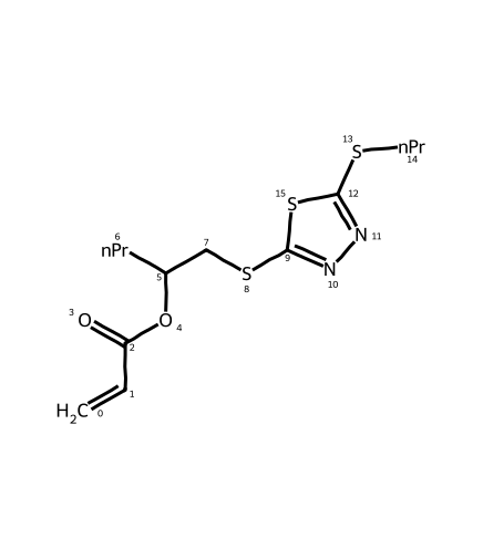 C=CC(=O)OC(CCC)CSc1nnc(SCCC)s1